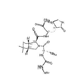 COC(=O)[C@H](C[C@@H]1CCNC1=O)NC(=O)[C@@H]1[C@H]2CC(C)(C)[C@H]2CN1C(=O)[C@@H](NC(=O)NC(C)(C)C)C(C)(C)C